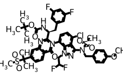 COc1ccc(CN(c2nn(CC(F)F)c3c(-n4c([C@H](Cc5cc(F)cc(F)c5)NC(=O)OC(C)(C)C)nc5cc(C(C)(C)S(C)(=O)=O)ccc5c4=O)ccc(Cl)c23)S(C)(=O)=O)cc1